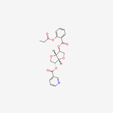 CCC(=O)Oc1ccccc1C(=O)O[C@H]1CO[C@H]2[C@@H]1OC[C@H]2OC(=O)c1cccnc1